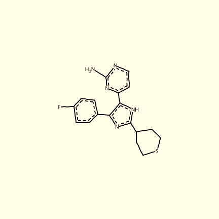 Nc1nccc(-c2[nH]c(C3CCSCC3)nc2-c2ccc(F)cc2)n1